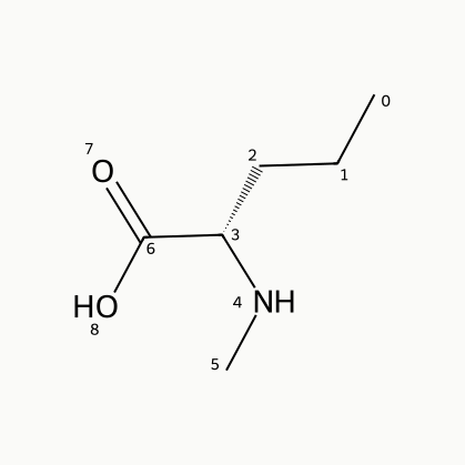 CCC[C@H](NC)C(=O)O